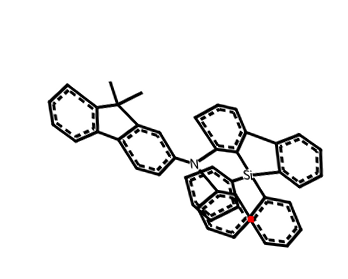 CC1(C)c2ccccc2-c2ccc(N(c3ccccc3)c3cccc4c3[Si](c3ccccc3)(c3ccccc3)c3ccccc3-4)cc21